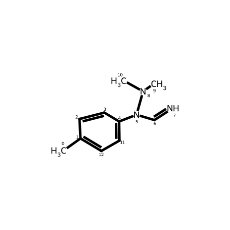 Cc1ccc(N(C=N)N(C)C)cc1